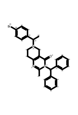 Cc1nc2c(c(=O)n1C(c1ccccc1)c1ccccc1)CN(C(C)c1ccc(Br)cc1)CC2